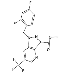 COC(=O)c1nn(Cc2ccc(F)cc2F)c2cc(C(F)(F)F)cnc12